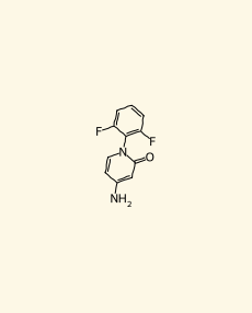 Nc1ccn(-c2c(F)cccc2F)c(=O)c1